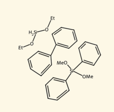 CCO[SiH2]OCC.CO[Si](OC)(c1ccccc1)c1ccccc1.c1ccc(-c2ccccc2)cc1